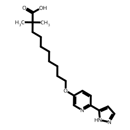 CC(C)(CCCCCCCCOc1ccc(-c2ccn[nH]2)nc1)C(=O)O